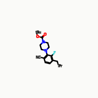 CC(C)Cc1ccc(C#N)c(N2CCN(C(=O)OC(C)(C)C)CC2)c1F